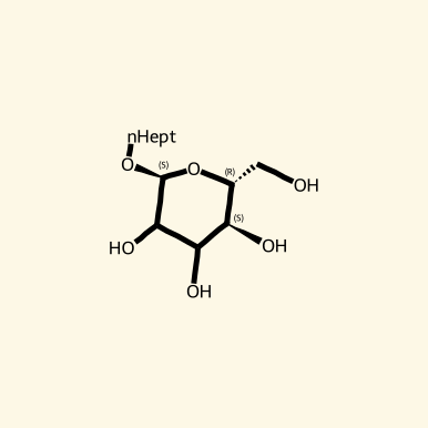 CCCCCCCO[C@H]1O[C@H](CO)[C@@H](O)C(O)C1O